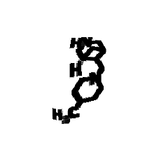 CC1CCN(CC2C3CNC[C@H]2C3)CC1